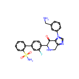 NCc1cccc(-n2cnc3c2C(=O)C(c2ccc(-c4ccccc4S(N)(=O)=O)cc2F)NC3)c1